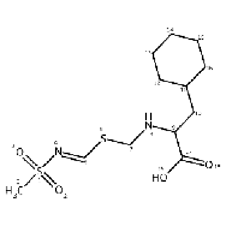 CS(=O)(=O)N=CSCNC(CC1CCCCC1)C(=O)O